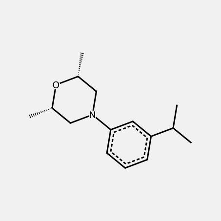 CC(C)c1cccc(N2C[C@@H](C)O[C@@H](C)C2)c1